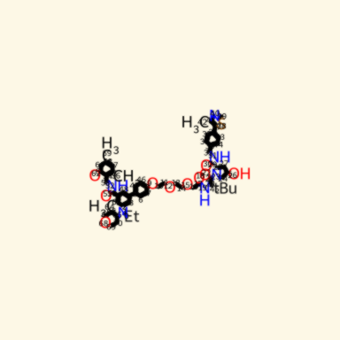 CCN(c1cc(-c2ccc(OCCOCCOCC(=O)NC(C(=O)N3C[C@H](O)C[C@H]3C(=O)NCc3ccc(-c4scnc4C)cc3)C(C)(C)C)cc2)cc(C(=O)NCC2=C(C)C=C(C)CC2=O)c1C)C1CCOCC1